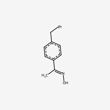 CC(=NO)c1ccc(CC(C)C)cc1